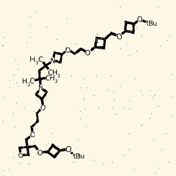 CC(C)(C)OC1CC(OCC2CC(OCCOC3CN(C(C)(C)CC(C)(C)N4CC(OCCCOCC5(COC6CC(OC(C)(C)C)C6)COC5)C4)C3)C2)C1